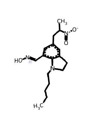 CCCCCN1CCc2cc(CC(C)[N+](=O)[O-])cc(/C=N/O)c21